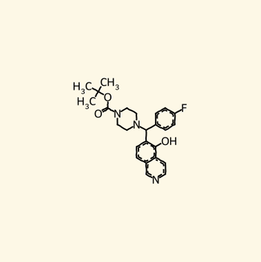 CC(C)(C)OC(=O)N1CCN(C(c2ccc(F)cc2)c2ccc3cnccc3c2O)CC1